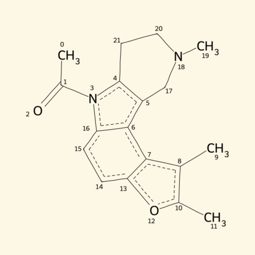 CC(=O)n1c2c(c3c4c(C)c(C)oc4ccc31)CN(C)CC2